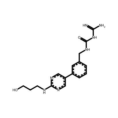 N=C(N)NC(=O)NCc1cccc(-c2cnc(NCCCO)nc2)c1